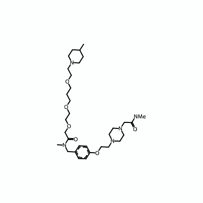 CNC(=O)CN1CCN(CCOc2ccc(CN(C)C(=O)COCCOCCCOCCN3CCC(C)CC3)cc2)CC1